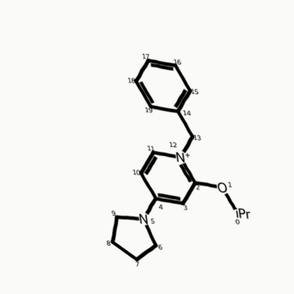 CC(C)Oc1cc(N2CCCC2)cc[n+]1Cc1ccccc1